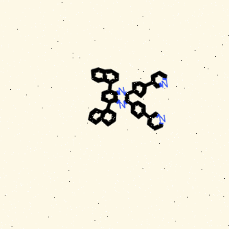 c1cncc(-c2ccc(-c3nc4c(-c5cccc6ccccc56)ccc(-c5cccc6ccccc56)c4nc3-c3ccc(-c4cccnc4)cc3)cc2)c1